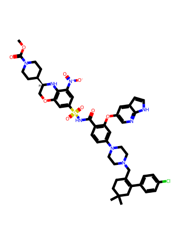 COC(=O)N1CCC([C@@H]2COc3cc(S(=O)(=O)NC(=O)c4ccc(N5CCN(CC6=C(c7ccc(Cl)cc7)CC(C)(C)CC6)CC5)cc4Oc4cnc5[nH]ccc5c4)cc([N+](=O)[O-])c3N2)CC1